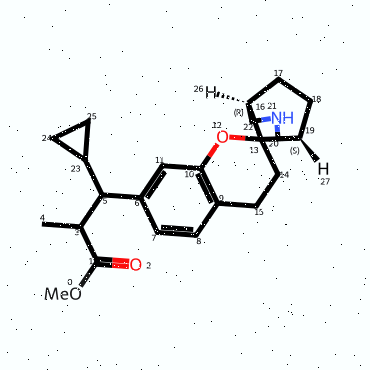 COC(=O)C(C)C(c1ccc2c(c1)OC1(CC2)[C@@H]2CC[C@H]1CNC2)C1CC1